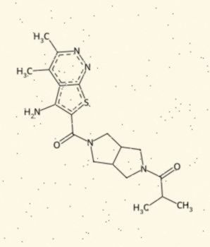 Cc1nnc2sc(C(=O)N3CC4CN(C(=O)C(C)C)CC4C3)c(N)c2c1C